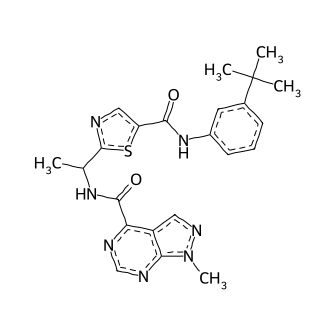 CC(NC(=O)c1ncnc2c1cnn2C)c1ncc(C(=O)Nc2cccc(C(C)(C)C)c2)s1